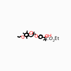 C=CCOc1c(C)c(C)c2c(c1C)CCC(C)(COc1ccc(C(O)C(C)(C)C(=O)OCC)cc1)O2